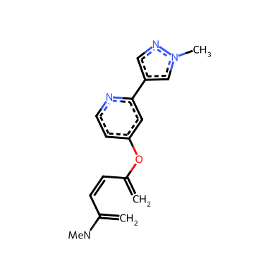 C=C(/C=C\C(=C)Oc1ccnc(-c2cnn(C)c2)c1)NC